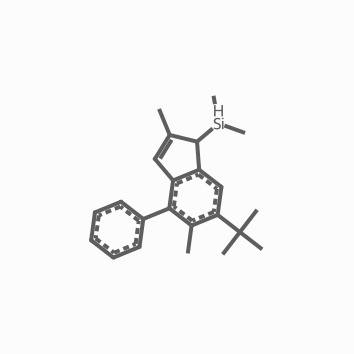 CC1=Cc2c(cc(C(C)(C)C)c(C)c2-c2ccccc2)C1[SiH](C)C